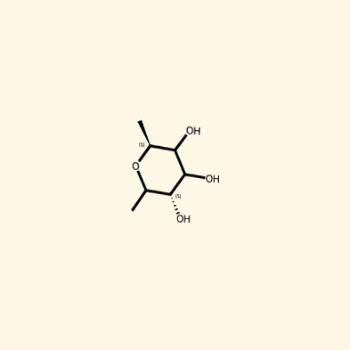 CC1O[C@@H](C)C(O)C(O)[C@@H]1O